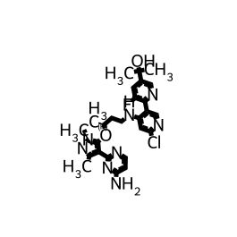 Cc1nn(C)c(O[C@H](C)CCNc2cc(Cl)ncc2-c2ncc(C(C)(C)O)cc2F)c1-c1nccc(N)n1